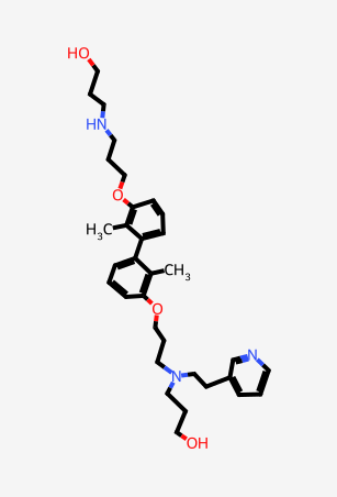 Cc1c(OCCCNCCCO)cccc1-c1cccc(OCCCN(CCCO)CCc2cccnc2)c1C